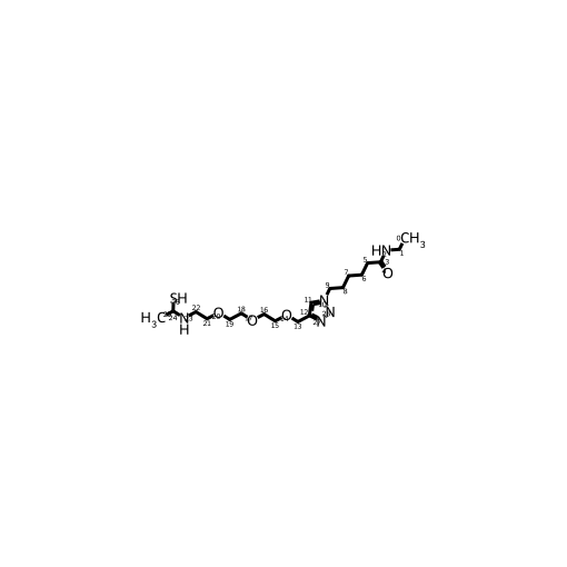 CCNC(=O)CCCCCn1cc(COCCOCCOCCNC(C)S)nn1